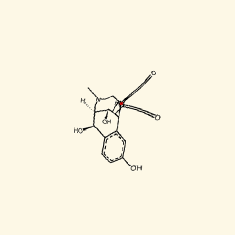 CN1CC[C@]23CC(=O)NC(=O)NCC[C@@]2(O)[C@H]1[C@H](O)c1ccc(O)cc13